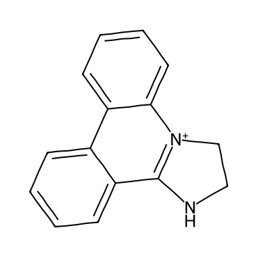 c1ccc2c(c1)c1[n+](c3ccccc23)CCN1